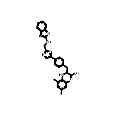 Cc1cc(C)c(NC(Cc2ccc(-c3cnc(CNc4nc5ccccc5[nH]4)o3)cc2)C(=O)O)c(C)c1